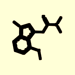 COc1cccc2c1c(CC(=O)N(C)C)cn2C